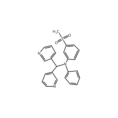 CS(=O)(=O)c1cccc(N(c2ccccc2)C(c2cccnc2)c2cccnc2)c1